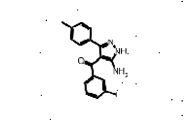 Cc1ccc(-c2n[nH]c(N)c2C(=O)c2cccc(I)c2)cc1